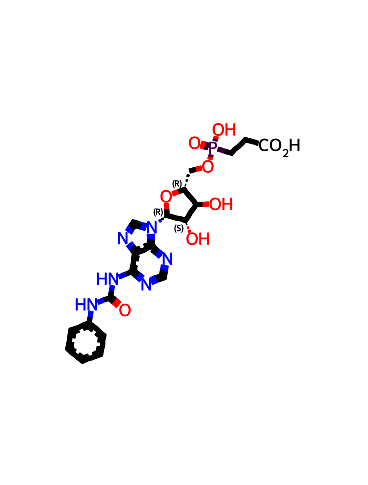 O=C(O)CCP(=O)(O)OC[C@H]1O[C@@H](n2cnc3c(NC(=O)Nc4ccccc4)ncnc32)[C@@H](O)C1O